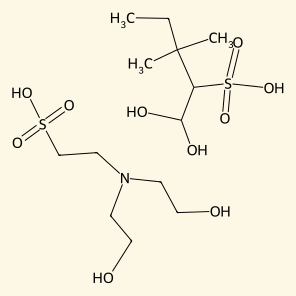 CCC(C)(C)C(C(O)O)S(=O)(=O)O.O=S(=O)(O)CCN(CCO)CCO